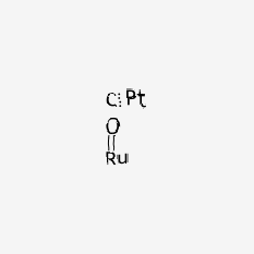 [C].[O]=[Ru].[Pt]